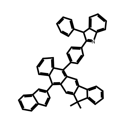 CC1(C)c2ccccc2-c2cc3c(-c4ccc(C5=Nc6ccccc6C5c5ccccc5)cc4)c4ccccc4c(-c4ccc5ccccc5c4)c3cc21